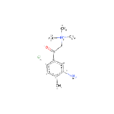 Cc1ccc(C(=O)C[N+](C)(C)C)cc1N.[Cl-]